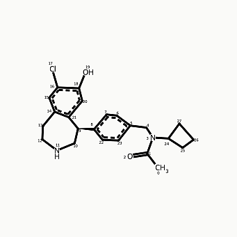 CC(=O)N(Cc1ccc([C@H]2CNCCc3cc(Cl)c(O)cc32)cc1)C1CCC1